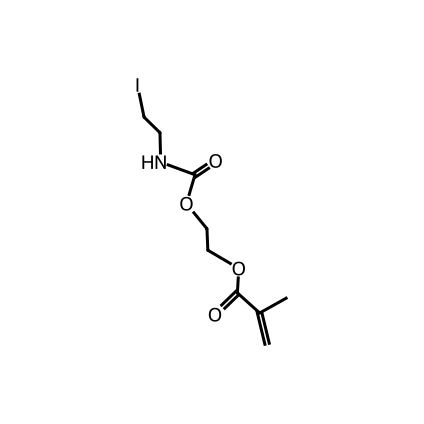 C=C(C)C(=O)OCCOC(=O)NCCI